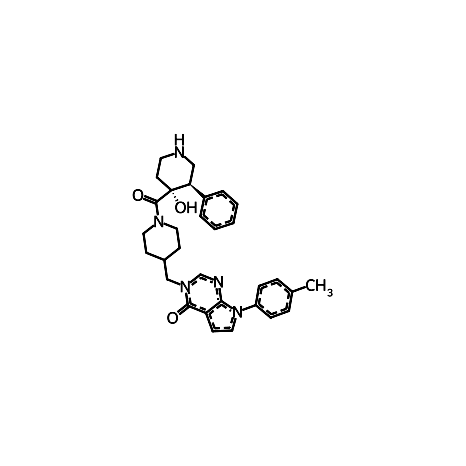 Cc1ccc(-n2ccc3c(=O)n(CC4CCN(C(=O)[C@@]5(O)CCNC[C@H]5c5ccccc5)CC4)cnc32)cc1